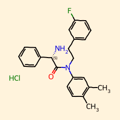 Cc1ccc(N(CCc2cccc(F)c2)C(=O)[C@@H](N)c2ccccc2)cc1C.Cl